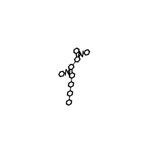 c1ccc(-c2ccc(-c3ccc(-c4ccc5c6cc(-c7ccc8c(c7)c7ccccc7n8-c7ccccc7)ccc6n(-c6ccccc6)c5c4)cc3)cc2)cc1